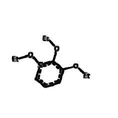 CCOc1ccc[si](OCC)c1OCC